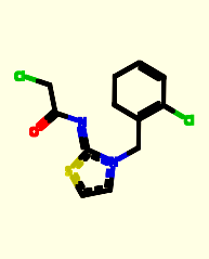 O=C(CCl)/N=c1\sccn1CC1=C(Cl)C=CCC1